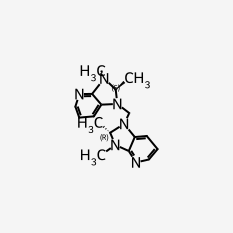 C[C@@H]1N(C)c2ncccc2N1CN1c2cccnc2N(C)[C@@H]1C